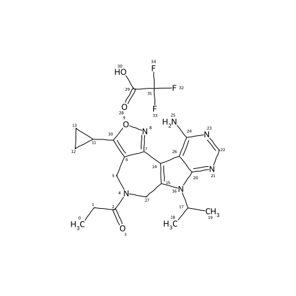 CCC(=O)N1Cc2c(noc2C2CC2)-c2c(n(C(C)C)c3ncnc(N)c23)C1.O=C(O)C(F)(F)F